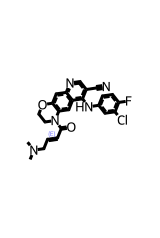 CN(C)C/C=C/C(=O)N1CCOc2cc3ncc(C#N)c(Nc4ccc(F)c(Cl)c4)c3cc21